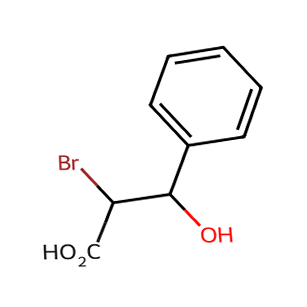 O=C(O)C(Br)C(O)c1ccccc1